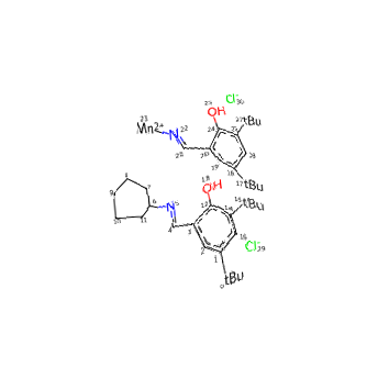 CC(C)(C)c1cc(C=NC2CCCCC2)c(O)c(C(C)(C)C)c1.CC(C)(C)c1cc(C=[N][Mn+2])c(O)c(C(C)(C)C)c1.[Cl-].[Cl-]